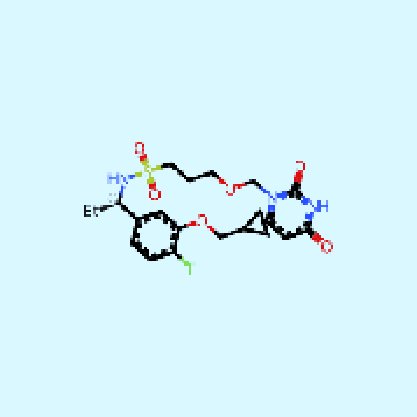 CC[C@@H](NS(=O)(=O)CCCOCn1ccc(=O)[nH]c1=O)c1ccc(F)c(OCC2CC2)c1